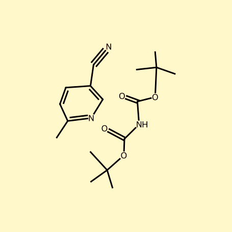 CC(C)(C)OC(=O)NC(=O)OC(C)(C)C.Cc1ccc(C#N)cn1